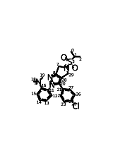 CC(C)S(=O)(=O)N1Cc2nn(-c3ccccc3N(C)C)c(-c3ccc(Cl)cc3)c2C1